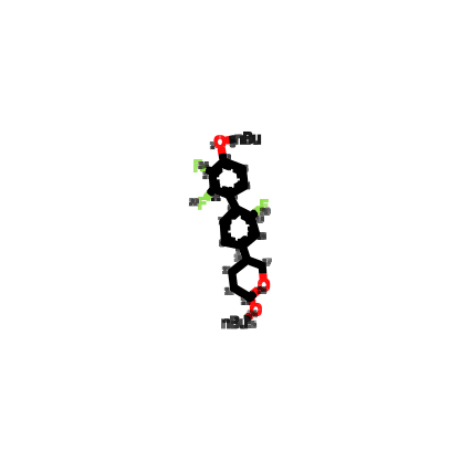 CCCCOc1ccc(-c2ccc(C3CCC(OCCCC)OC3)cc2F)c(F)c1F